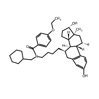 CCOc1ccc(C(=O)N(CCCC[C@@H]2Cc3cc(O)ccc3[C@@H]3[C@@H]2[C@@H]2CC[C@H](O)[C@@]2(C)C[C@@H]3F)CC2CCCCC2)cc1